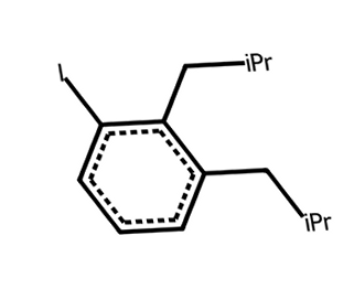 CC(C)Cc1cccc(I)c1CC(C)C